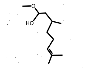 COC(O)CC(C)CCC=C(C)C